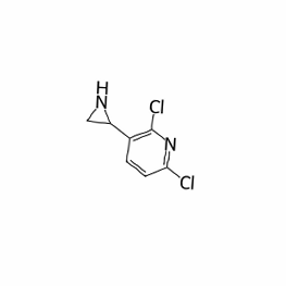 Clc1ccc(C2CN2)c(Cl)n1